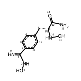 N=C(NO)c1ccc(C[C@@H](NO)C(N)=O)cc1